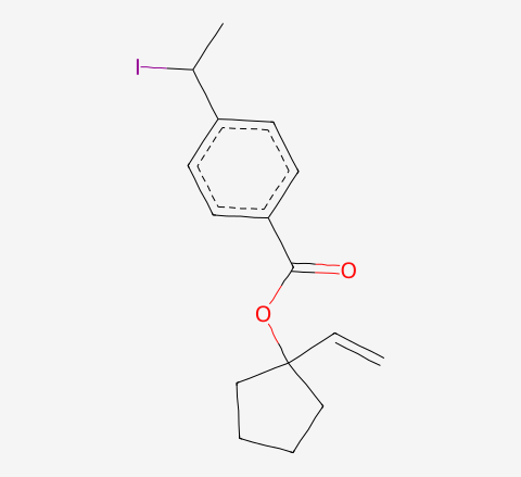 C=CC1(OC(=O)c2ccc(C(C)I)cc2)CCCC1